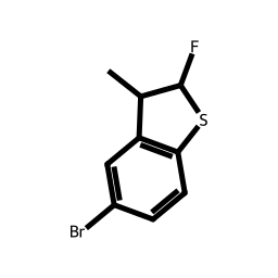 CC1c2cc(Br)ccc2SC1F